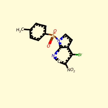 Cc1ccc(S(=O)(=O)n2ccc3c(Br)c([N+](=O)[O-])cnc32)cc1